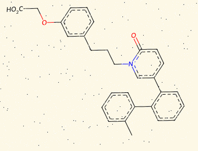 Cc1ccccc1-c1ccccc1-c1ccc(=O)n(CCCc2cccc(OCC(=O)O)c2)c1